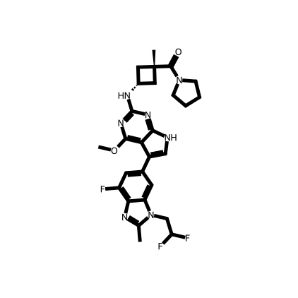 COc1nc(N[C@H]2C[C@@](C)(C(=O)N3CCCC3)C2)nc2[nH]cc(-c3cc(F)c4nc(C)n(CC(F)F)c4c3)c12